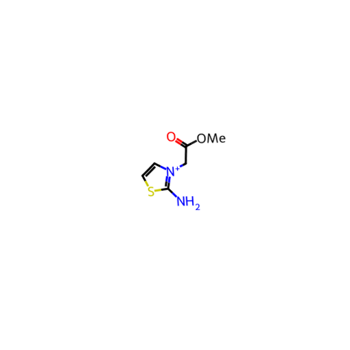 COC(=O)C[n+]1ccsc1N